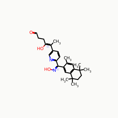 C/C(=C(/O)CCC=O)c1ccc(/C(=N\O)c2cc3c(cc2C)C(C)(C)CCC3(C)C)nc1